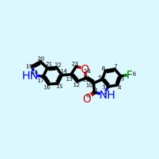 O=C1Nc2cc(F)ccc2C1=C1C=C(c2ccc3[nH]ccc3c2)CO1